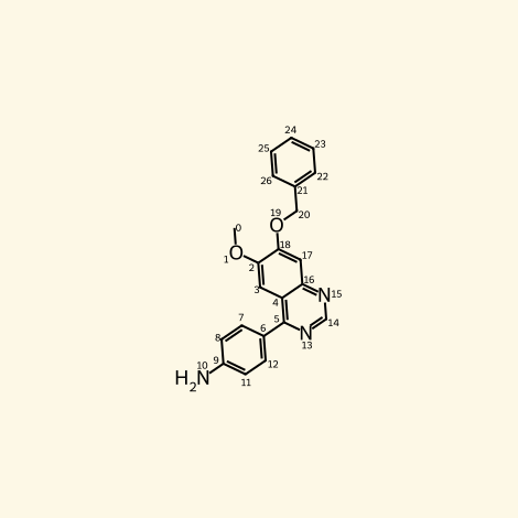 COc1cc2c(-c3ccc(N)cc3)ncnc2cc1OCc1ccccc1